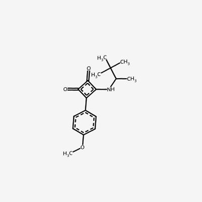 COc1ccc(-c2c(NC(C)C(C)(C)C)c(=O)c2=O)cc1